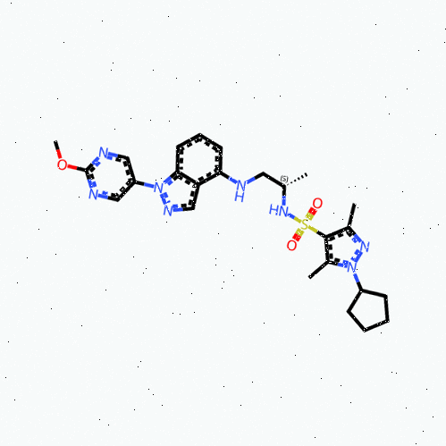 COc1ncc(-n2ncc3c(NC[C@H](C)NS(=O)(=O)c4c(C)nn(C5CCCC5)c4C)cccc32)cn1